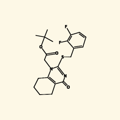 CC(C)(C)OC(=O)Cn1c(SCc2cccc(F)c2F)nc(=O)c2c1CCCC2